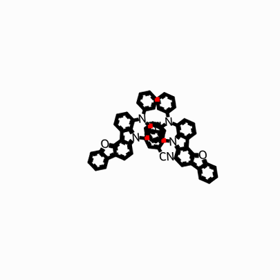 N#Cc1cc(-n2c3ccc4c5ccccc5oc4c3c3cccc(N(c4ccccc4)c4ccccc4)c32)c(C#N)cc1-n1c2ccc3c4ccccc4oc3c2c2cccc(N(c3ccccc3)c3ccccc3)c21